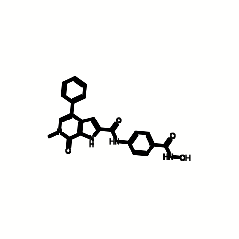 Cn1cc(-c2ccccc2)c2cc(C(=O)Nc3ccc(C(=O)NO)cc3)[nH]c2c1=O